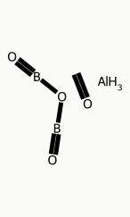 C=O.O=BOB=O.[AlH3]